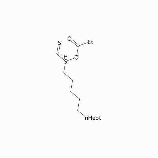 CCCCCCCCCCCC[SH](C=S)OC(=O)CC